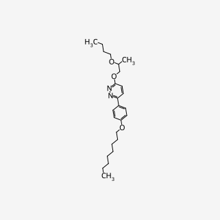 CCCCCCCCOc1ccc(-c2ccc(OCC(C)OCCCC)nn2)cc1